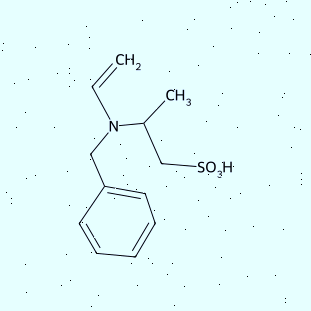 C=CN(Cc1ccccc1)C(C)CS(=O)(=O)O